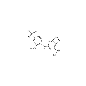 CCNc1cc(Nc2ccc(P(C)(=O)O)cc2OC)nc2[nH]ccc12